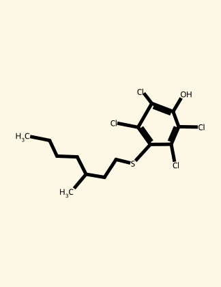 CCCCC(C)CCSc1c(Cl)c(Cl)c(O)c(Cl)c1Cl